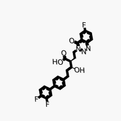 O=C(O)[C@@H](CCn1nnc2ccc(F)cc2c1=O)[C@H](O)CCc1ccc(-c2ccc(F)c(F)c2)cc1